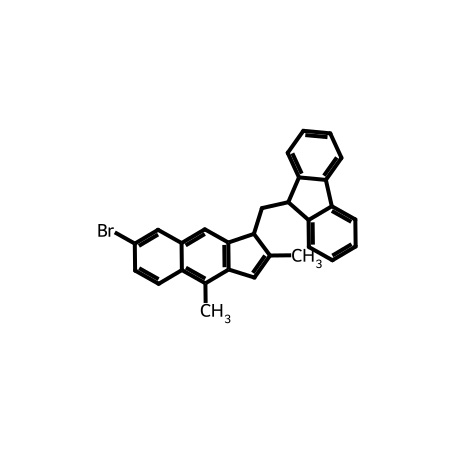 CC1=Cc2c(cc3cc(Br)ccc3c2C)C1CC1c2ccccc2-c2ccccc21